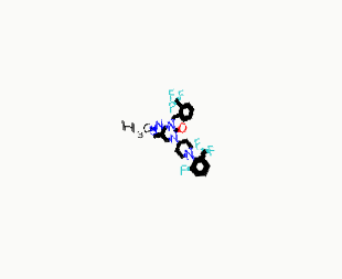 Cn1cc2c(n1)N(Cc1ccccc1C(F)(F)F)C(=O)N(C1CCN(c3c(F)cccc3C(F)F)CC1)C2